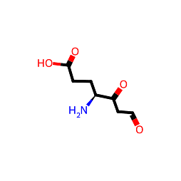 N[C@@H](CCC(=O)O)C(=O)CC=O